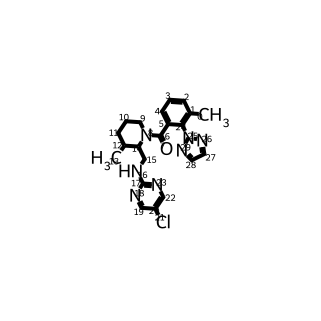 Cc1cccc(C(=O)N2CCCC(C)C2CNc2ncc(Cl)cn2)c1-n1nccn1